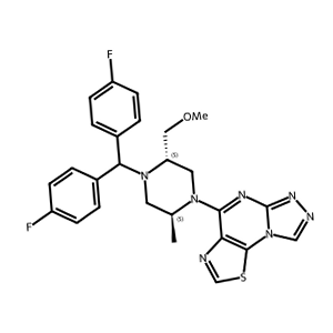 COC[C@@H]1CN(c2nc3nncn3c3scnc23)[C@@H](C)CN1C(c1ccc(F)cc1)c1ccc(F)cc1